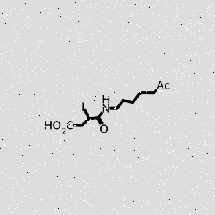 CC(=O)CCCCCNC(=O)C(I)CC(=O)O